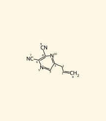 C=CCc1cnc(C#N)c(C#N)n1